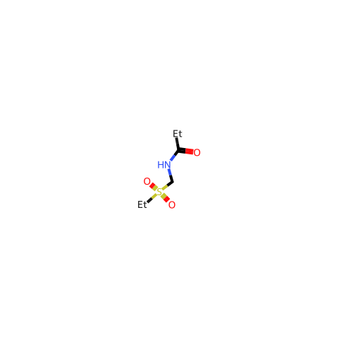 CCC(=O)NCS(=O)(=O)CC